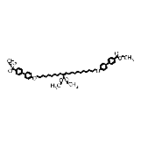 CCOC(=O)c1ccc(-c2ccc(OCCCCCCCCCCC=C(CCCCCCCCCOc3ccc(-c4ccc(C(=O)OCC)cc4)cc3)C(OCC)OCC)cc2)cc1